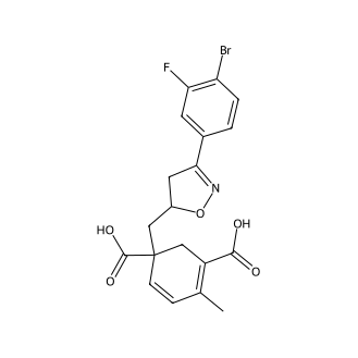 CC1=C(C(=O)O)CC(CC2CC(c3ccc(Br)c(F)c3)=NO2)(C(=O)O)C=C1